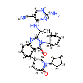 CC(Nc1nc(N)ncc1C#N)c1nc2cccc(-c3ccc(=O)n(C4CCCC4)c3)c2c(=O)n1-c1ccccc1